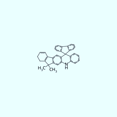 CC1(C)C2=C(C=CCC2)c2cc3c(cc21)Nc1ccccc1C31c2ccccc2-c2ccccc21